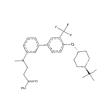 CN(CCC(=O)O)c1cccc(-c2ccc(O[C@H]3CC[C@H](C(C)(C)C)CC3)c(C(F)(F)F)c2)c1